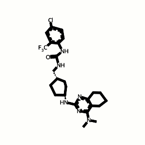 CN(C)c1nc(N[C@H]2CC[C@@H](CNC(=O)Nc3ccc(Cl)cc3C(F)(F)F)CC2)nc2c1CCCC2